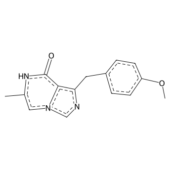 COc1ccc(Cc2ncn3cc(C)[nH]c(=O)c23)cc1